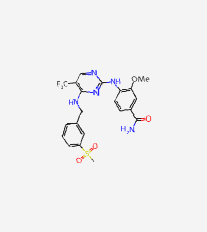 COc1cc(C(N)=O)ccc1Nc1ncc(C(F)(F)F)c(NCc2cccc(S(C)(=O)=O)c2)n1